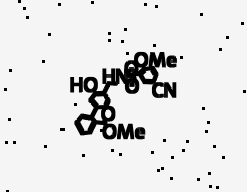 COC(=O)c1ccccc1-c1ccc(CCNS(=O)(=O)c2cc(C#N)ccc2OC)c(O)c1